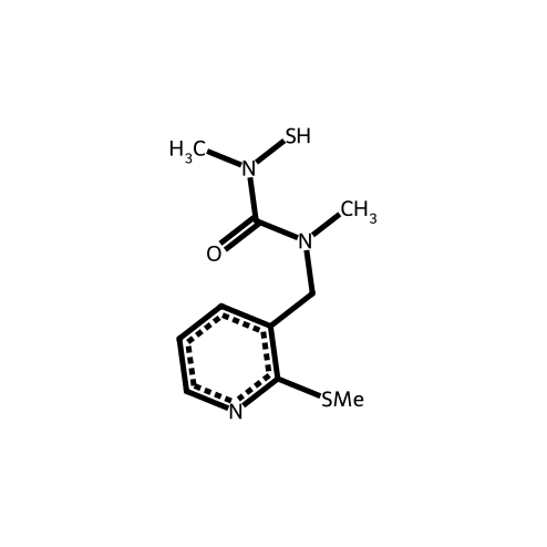 CSc1ncccc1CN(C)C(=O)N(C)S